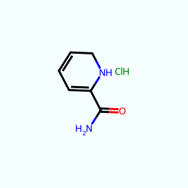 Cl.NC(=O)C1=CC=CCN1